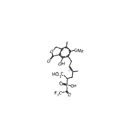 COc1c(C)c2c(c(O)c1C/C=C(\C)CC(C(=O)O)P(=O)(O)C(=O)C(F)(F)F)C(=O)OC2